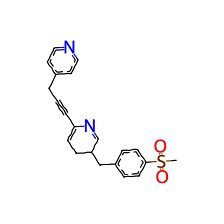 CS(=O)(=O)c1ccc(CC2C=NC(C#CCc3ccncc3)=CC2)cc1